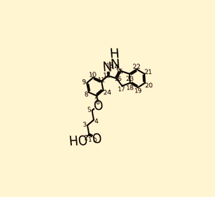 O=C(O)CCCOc1cccc(-c2n[nH]c3c2Cc2ccccc2-3)c1